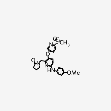 COc1ccc(Nc2ccc(Oc3ccc([S+](C)[O-])nc3)c(CN3CCCC3=O)n2)cc1